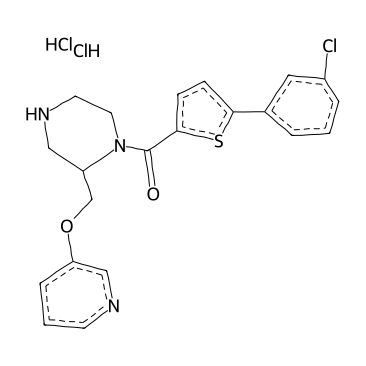 Cl.Cl.O=C(c1ccc(-c2cccc(Cl)c2)s1)N1CCNCC1COc1cccnc1